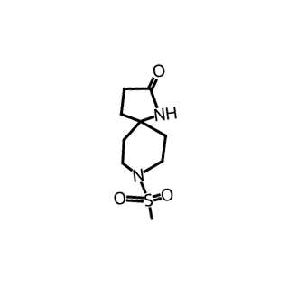 CS(=O)(=O)N1CCC2(CCC(=O)N2)CC1